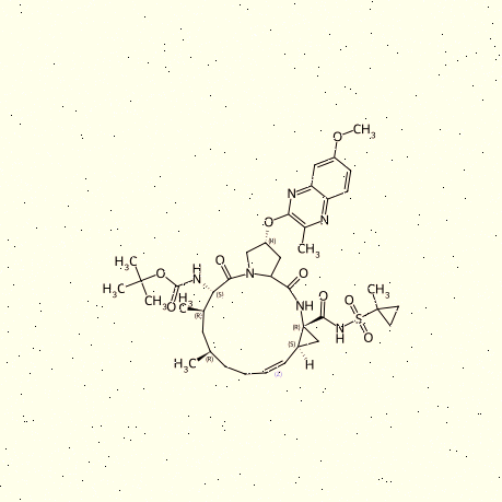 COc1ccc2nc(C)c(O[C@@H]3CC4C(=O)N[C@]5(C(=O)NS(=O)(=O)C6(C)CC6)C[C@H]5/C=C\CC[C@@H](C)C[C@@H](C)[C@H](NC(=O)OC(C)(C)C)C(=O)N4C3)nc2c1